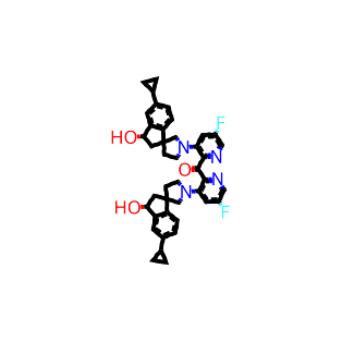 O=C(c1ncc(F)cc1N1CCC2(CC(O)c3cc(C4CC4)ccc32)C1)c1ncc(F)cc1N1CCC2(CC(O)c3cc(C4CC4)ccc32)C1